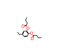 CCCC(=O)Oc1ccc(CC)cc1OC(=O)CCC